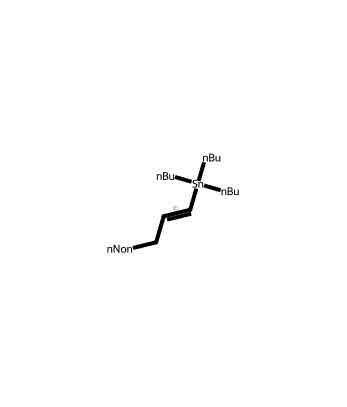 CCCCCCCCCC/C=[CH]/[Sn]([CH2]CCC)([CH2]CCC)[CH2]CCC